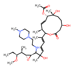 CC[C@H](OC)[C@@H](C)[C@H]1O[C@@H]1C(NCCN1CCN(C)CC1)C(C)(O)/C=C/C=C(\C)C1OC(=O)C[C@H](O)CC[C@@](C)(O)[C@@H](OC(C)=O)/C=C/[C@@H]1C